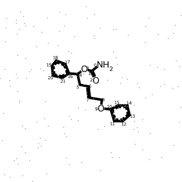 NC(=O)OC(CC=CCOc1ccccc1)c1ccccc1